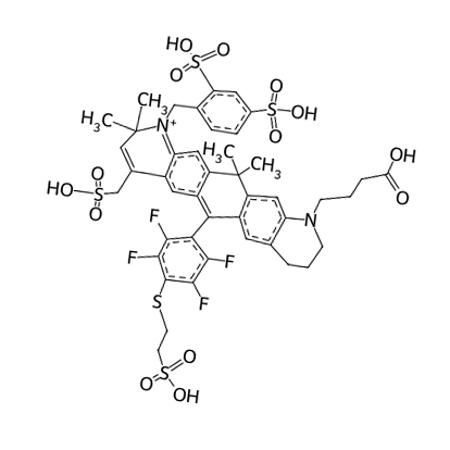 CC1(C)c2cc3c(cc2C(c2c(F)c(F)c(SCCS(=O)(=O)O)c(F)c2F)=c2cc4c(cc21)=[N+](Cc1ccc(S(=O)(=O)O)cc1S(=O)(=O)O)C(C)(C)C=C4CS(=O)(=O)O)CCCN3CCCC(=O)O